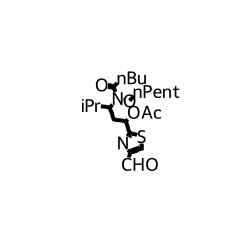 CCCCCON(C(=O)CCCC)C(CC(OC(C)=O)c1nc(C=O)cs1)C(C)C